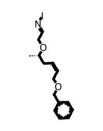 C[C@@H](C/C=C\COCc1ccccc1)OC/C=N/I